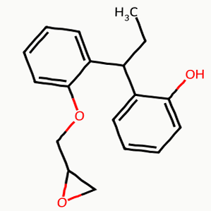 CCC(c1ccccc1O)c1ccccc1OCC1CO1